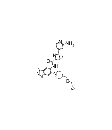 Cc1nn(C)c2cc(N3CCC(COCC4CC4)CC3)c(NC(=O)c3coc(-c4ccnc(N)c4)n3)cc12